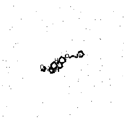 C[C@]12CC[C@H]3[C@@H](CC=C4C[C@@H](OCCCN5CCCC5)CC[C@@]43C)[C@@H]1CC[C@@H]2c1ccoc1